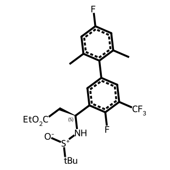 CCOC(=O)C[C@H](N[S+]([O-])C(C)(C)C)c1cc(-c2c(C)cc(F)cc2C)cc(C(F)(F)F)c1F